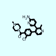 Cc1nccc(-c2ccc(C(=O)N3CCN(C)CC3)c(Cl)c2)c1-c1ccc(N)nc1